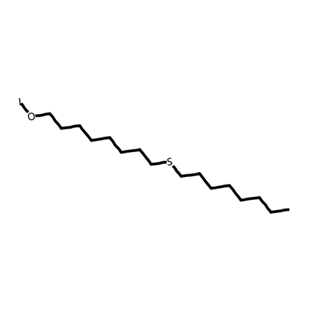 CCCCCCCCSCCCCCCCCOI